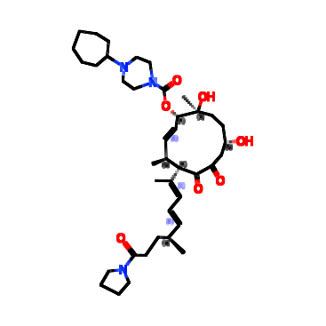 C/C(=C\C=C\[C@@H](C)CCC(=O)N1CCCC1)[C@H]1C(=O)C(=O)C[C@@H](O)CC[C@](C)(O)[C@@H](OC(=O)N2CCN(C3CCCCCC3)CC2)/C=C/[C@@H]1C